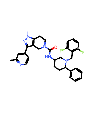 Cc1cc(-c2n[nH]c3c2CN(C(=O)NC2CCC(c4ccccc4)N(Cc4c(F)cccc4F)C2)CC3)ccn1